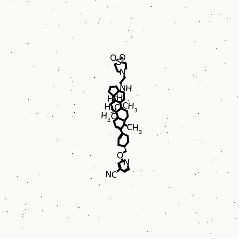 CC1C(C2=CC[C@H](COc3cc(C#N)ccn3)CC2)=CC[C@@]2(C)C1CC[C@]1(C)C2CC[C@@H]2[C@H]3CCC[C@]3(NCCN3CCS(=O)(=O)CC3)CC[C@]21C